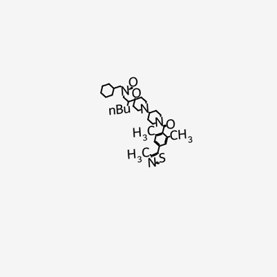 CCCCC1CN(CC2CCCCC2)C(=O)OC12CCN(C1CCN(C(=O)c3c(C)cc(-c4scnc4C)cc3C)CC1)CC2